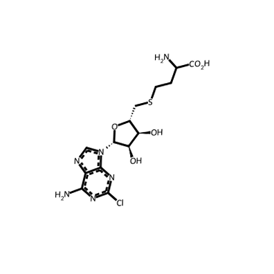 Nc1nc(Cl)nc2c1ncn2[C@@H]1O[C@H](CSCCC(N)C(=O)O)[C@@H](O)[C@H]1O